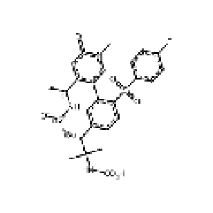 C[C@H](N[S@@+]([O-])C(C)(C)C)c1cc(=O)n(C)cc1-c1cc(CC(C)(C)NC(=O)O)ccc1S(=O)(=O)c1ccc(F)cc1